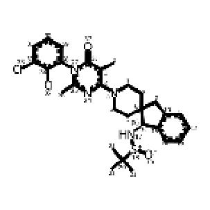 Cc1c(N2CCC3(CC2)Cc2ccccc2[C@H]3N[S+]([O-])C(C)(C)C)nc(C)n(-c2cccc(Cl)c2Cl)c1=O